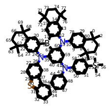 CC1(C)CCC(C)(C)c2cc(N3c4cc5c(cc4B4c6cc7c(cc6N(c6ccc8sc9ccccc9c8c6)c6cc(N(c8ccccc8)c8ccc([Si](C)(C)C)cc8)cc3c64)C(C)(C)CCC7(C)C)C(C)(C)CCC5(C)C)ccc21